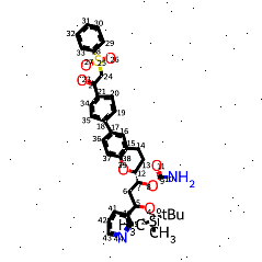 CC(C)(C)[Si](C)(C)OC(CC(OC(N)=O)[C@H]1CCc2cc(-c3ccc(C(=O)CS(=O)(=O)c4ccccc4)cc3)ccc2O1)c1cccnc1